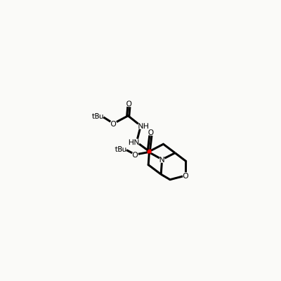 CC(C)(C)OC(=O)NNC1CC2COCC(C1)N2C(=O)OC(C)(C)C